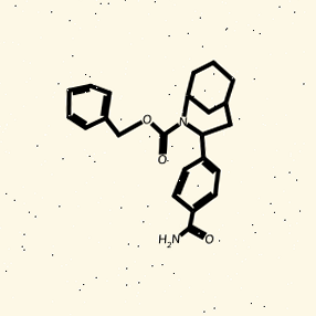 NC(=O)c1ccc(C2CC3CCCC(C3)N2C(=O)OCc2ccccc2)cc1